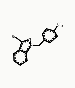 FC(F)(F)c1ccc(Cn2nc(Br)c3ccccc32)cc1